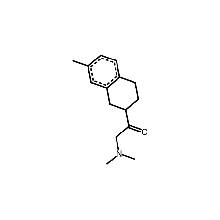 Cc1ccc2c(c1)CC(C(=O)CN(C)C)CC2